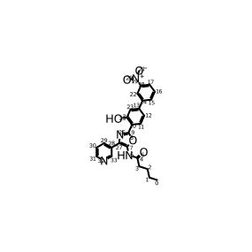 CCCCC(=O)Nc1oc(-c2ccc(-c3cccc([N+](=O)[O-])c3)cc2O)nc1-c1cccnc1